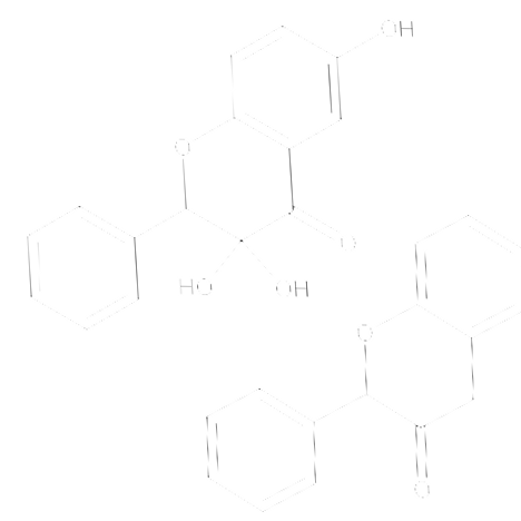 O=C1Cc2ccccc2OC1c1ccccc1.O=C1c2cc(O)ccc2OC(c2ccccc2)C1(O)O